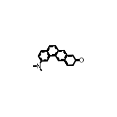 CN(C)c1ccc2ccc3cc4c(cc3c2c1)=CCC(=O)C=4